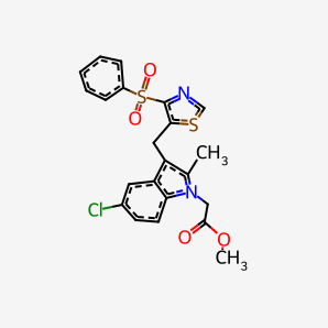 COC(=O)Cn1c(C)c(Cc2scnc2S(=O)(=O)c2ccccc2)c2cc(Cl)ccc21